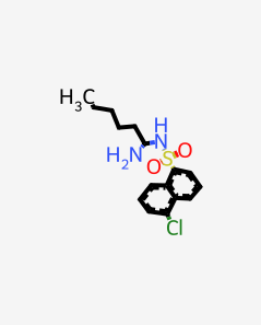 CCCCCC(N)NS(=O)(=O)c1cccc2c(Cl)cccc12